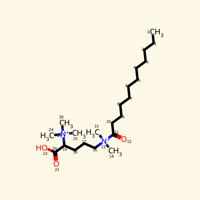 CCCCCCCCCCCC(=O)[N+](C)(C)CCCC(C(=O)O)[N+](C)(C)C